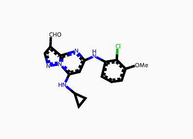 COc1cccc(Nc2cc(NC3CC3)n3ncc(C=O)c3n2)c1Cl